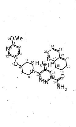 COc1ccc(OC2CCN(c3nnc(C(N)=O)c([C@H]4CCC=C5C=CC=N[C@@H]54)c3C)CC2)cn1